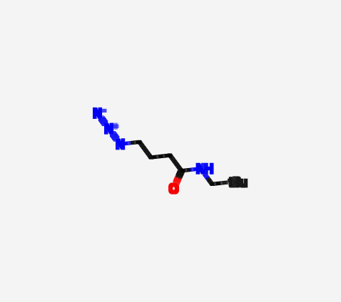 CC(C)(C)CNC(=O)CCCN=[N+]=[N-]